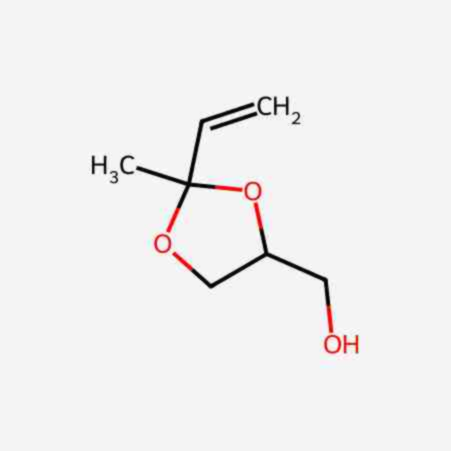 C=CC1(C)OCC(CO)O1